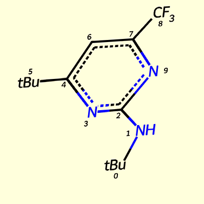 CC(C)(C)Nc1nc(C(C)(C)C)cc(C(F)(F)F)n1